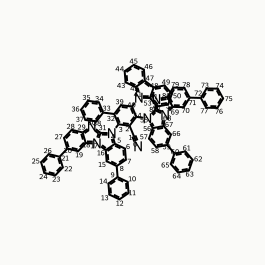 N#Cc1c(-n2c3ccc(-c4ccccc4)cc3n3c4cc(-c5ccccc5)ccc4nc23)c(-c2ccccc2)cc(-n2c3ccccc3c3ccccc32)c1-n1c2ccc(-c3ccccc3)cc2n2c3cc(-c4ccccc4)ccc3nc12